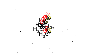 CC(C)([CH2][Sn+3])c1ccccc1.Cc1ccsc1C(=O)[O-].Cc1ccsc1C(=O)[O-].Cc1ccsc1C(=O)[O-]